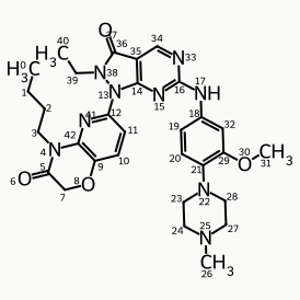 CCCCN1C(=O)COc2ccc(-n3c4nc(Nc5ccc(N6CCN(C)CC6)c(OC)c5)ncc4c(=O)n3CC)nc21